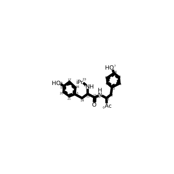 CC(=O)C(Cc1ccc(O)cc1)NC(=O)C(Cc1ccc(O)cc1)NC(C)C